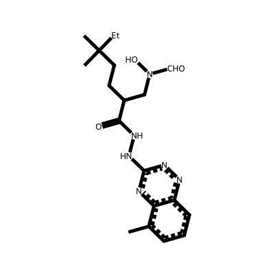 CCC(C)(C)CCC(CN(O)C=O)C(=O)NNc1nnc2cccc(C)c2n1